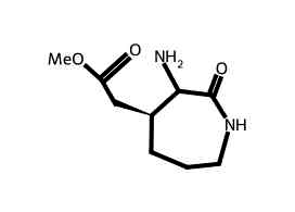 COC(=O)C[C@@H]1CCCNC(=O)C1N